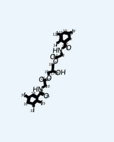 O=C(CNC(=O)c1cc(I)cc(I)c1I)OCC(O)COC(=O)CNC(=O)c1cc(I)cc(I)c1I